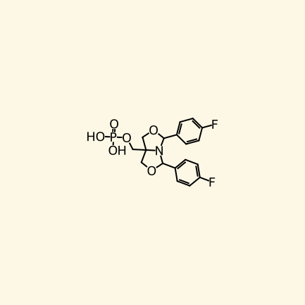 O=P(O)(O)OCC12COC(c3ccc(F)cc3)N1C(c1ccc(F)cc1)OC2